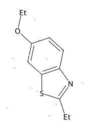 CCOc1ccc2nc(CC)sc2c1